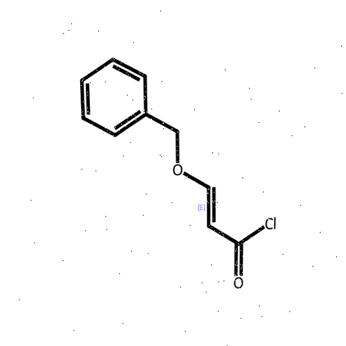 O=C(Cl)/C=C/OCc1ccccc1